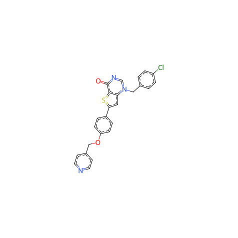 O=c1ncn(Cc2ccc(Cl)cc2)c2cc(-c3ccc(OCc4ccncc4)cc3)sc12